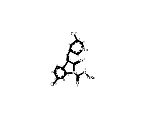 CC(C)(C)OC(=O)N1C(=O)C(=Cc2cncc(Cl)c2)c2ccc(Cl)cc21